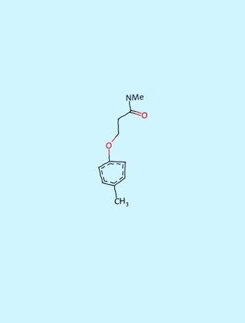 CNC(=O)CCOc1ccc(C)cc1